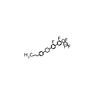 C=CCCc1ccc(C2CCC(c3ccc(-c4ccc(OC(F)(F)C=C(F)F)c(F)c4)c(F)c3)CC2)cc1